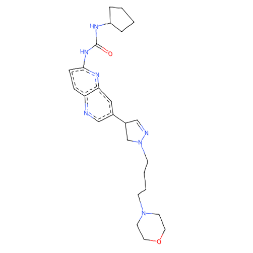 O=C(Nc1ccc2ncc(C3C=NN(CCCCN4CCOCC4)C3)cc2n1)NC1CCCC1